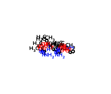 CCC(=O)O[C@H]1[C@@H](OC(=O)CC)[C@](C#N)(c2ccc3c(N)nc(C4CCC(OC(=O)[C@H](C)NP(=O)(OC[C@H]5O[C@@](C#N)(c6ccc7c(N)ncnn67)[C@H](OC(C)=O)[C@@H]5OC(C)=O)Oc5ccc(C(C)(C)C)cc5)CC4)nn23)O[C@@H]1COP(=O)(N[C@@H](C)C(=O)OCC(CC)CC)Oc1cccc2ccccc12